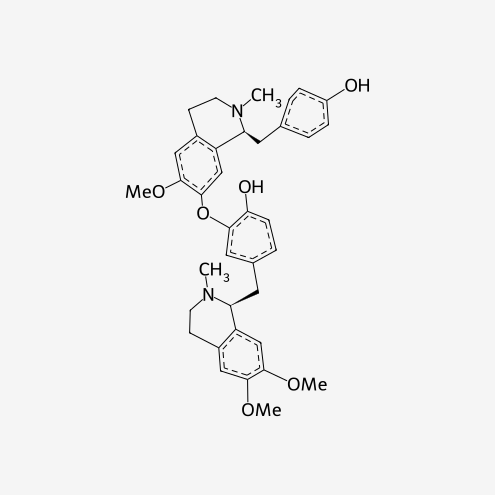 COc1cc2c(cc1OC)[C@H](Cc1ccc(O)c(Oc3cc4c(cc3OC)CCN(C)[C@H]4Cc3ccc(O)cc3)c1)N(C)CC2